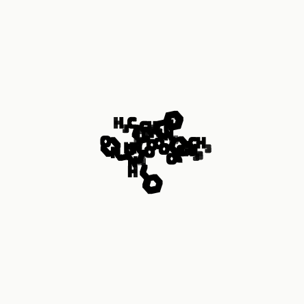 CC(C)C[C@H](NC(=O)[C@H](CCC1=CC=CCC1)NC(=O)CN1CCOCC1)C(=O)N[C@@H](Cc1ccccc1)C(=O)N[C@@H](CC(C)C)C(=O)[C@@]1(C)CO1